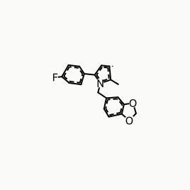 Cc1[c]cc(-c2ccc(F)cc2)n1Cc1ccc2c(c1)OCO2